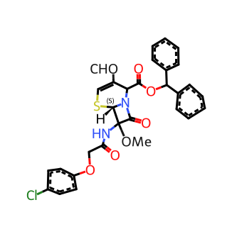 COC1(NC(=O)COc2ccc(Cl)cc2)C(=O)N2C(C(=O)OC(c3ccccc3)c3ccccc3)C(C=O)=CS[C@H]21